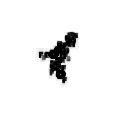 CC(C)(C)OC(=O)NCCS(=O)(Cc1cc(Nc2ncc(F)c(-c3ccc(F)cc3F)n2)cc(C(F)(F)F)c1)=NC(=O)C(F)(F)F